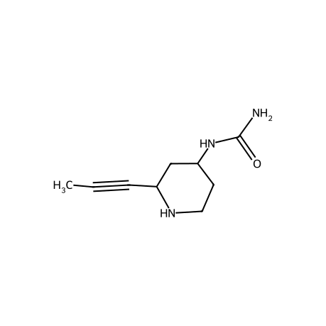 CC#CC1CC(NC(N)=O)CCN1